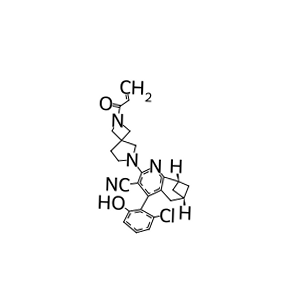 C=CC(=O)N1CC2(CCN(c3nc4c(c(-c5c(O)cccc5Cl)c3C#N)C[C@H]3C[C@@H]4C3)C2)C1